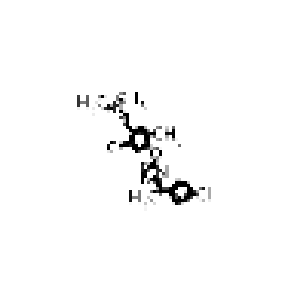 CCN(C)C=Nc1cc(C)c(Oc2nc(C(C)c3ccc(Cl)cc3)ns2)cc1Cl